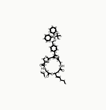 CCC/C=C/C1CC(=O)NCc2nc(c(-c3ccc(CO[Si](c4ccccc4)(c4ccccc4)C(C)(C)C)cc3)s2)C2=N[C@@](C)(CS2)C(=O)N[C@@H](C(C)C)C(=O)O1